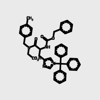 Cc1ccc(CN(CC(=O)O)C(=O)C(Cc2cn(C(c3ccccc3)(c3ccccc3)c3ccccc3)cn2)NC(=O)OCc2ccccc2)cc1